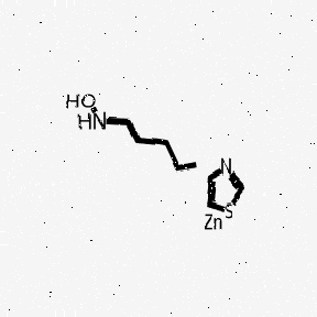 CCCCCNO.[Zn].c1cscn1